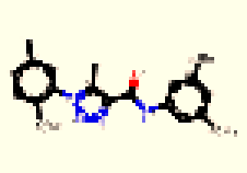 COc1cc(NC(=O)c2nnn(-c3cc(C)ccc3OC)c2C)cc(C(C)(C)C)c1